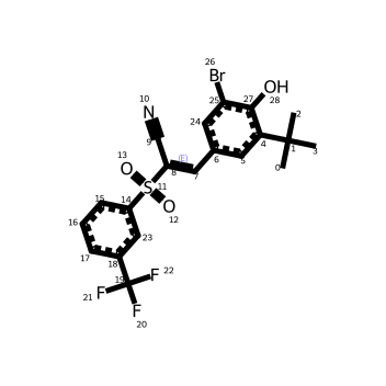 CC(C)(C)c1cc(/C=C(\C#N)S(=O)(=O)c2cccc(C(F)(F)F)c2)cc(Br)c1O